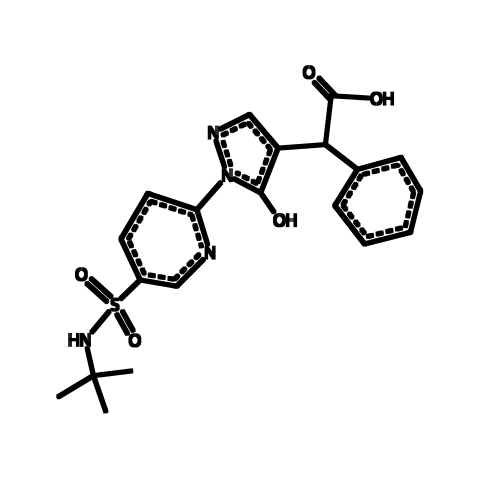 CC(C)(C)NS(=O)(=O)c1ccc(-n2ncc(C(C(=O)O)c3ccccc3)c2O)nc1